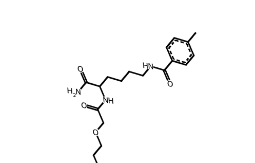 COCCOCC(=O)NC(CCCCNC(=O)c1ccc(C)cc1)C(N)=O